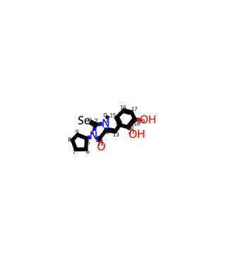 CN1C(=[Se])N(C2CCCC2)C(=O)C1=Cc1cccc(O)c1O